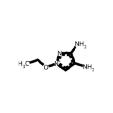 CCOn1cc(N)c(N)n1